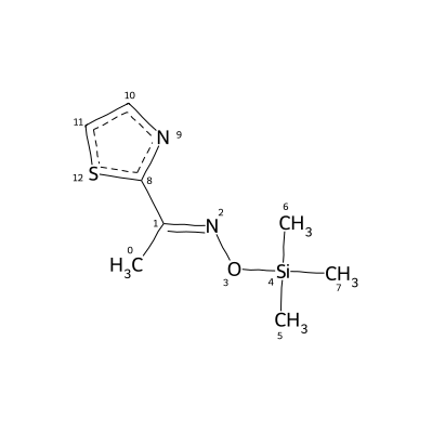 CC(=NO[Si](C)(C)C)c1nccs1